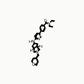 CCN(CC)C(=O)c1ccc(-c2ccc(NC3C[C@@H]4CN(CC5CCOCC5)C[C@@H]4C3)nn2)cc1